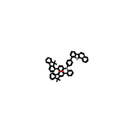 CC1(C)c2ccccc2-c2ccc(-c3ccccc3N(c3ccc(-c4cccc5c4C(C)(C)c4ccccc4-5)cc3)c3ccc(-c4cccc5c4sc4c6ccccc6ccc54)cc3)cc21